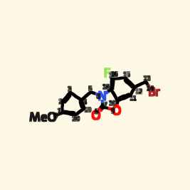 COc1ccc(Cn2c(=O)oc3cc(CBr)cc(F)c32)cc1